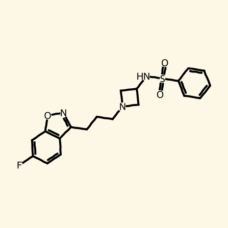 O=S(=O)(NC1CN(CCCc2noc3cc(F)ccc23)C1)c1ccccc1